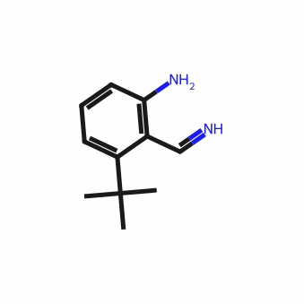 CC(C)(C)c1cccc(N)c1C=N